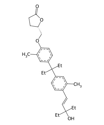 CCC(O)(/C=C/c1ccc(C(CC)(CC)c2ccc(OC[C@@H]3CCC(=O)O3)c(C)c2)cc1C)CC